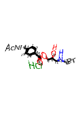 CC(=O)Nc1ccc(C(=O)OCC(O)CNC(C)C)cc1.Cl